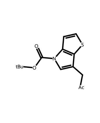 CC(=O)Cc1cn(C(=O)OC(C)(C)C)c2ccsc12